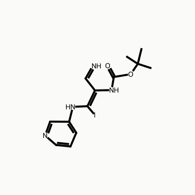 CC(C)(C)OC(=O)N/C(C=N)=C(\I)Nc1cccnc1